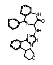 O=C1Nc2ccccc2C(c2ccccc2)=NC1Nc1nnc(-c2ccccc2C2CCOCC2)o1